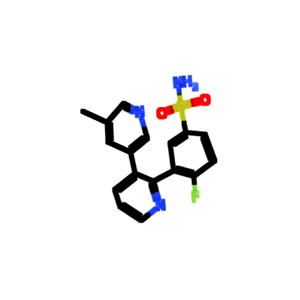 Cc1cncc(-c2cccnc2-c2cc(S(N)(=O)=O)ccc2F)c1